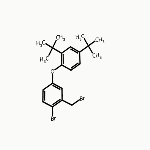 CC(C)(C)c1ccc(Oc2ccc(Br)c(CBr)c2)c(C(C)(C)C)c1